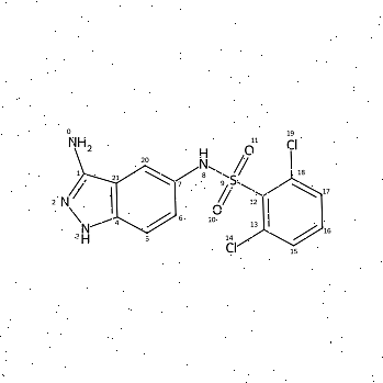 Nc1n[nH]c2ccc(NS(=O)(=O)c3c(Cl)cccc3Cl)cc12